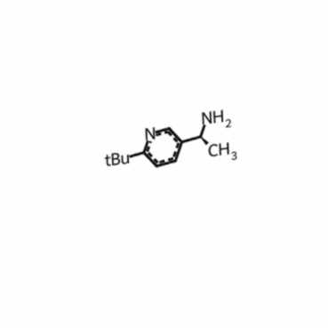 C[C@H](N)c1ccc(C(C)(C)C)nc1